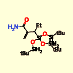 C=C(C(N)=O)C(CC)[Si](O[SiH2]C(C)(C)C)(O[SiH2]C(C)(C)C)O[SiH2]C(C)(C)C